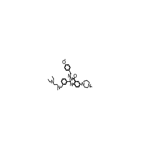 CCN(CC)CCN(C)Cc1cccc(-c2nc3ccc(N4CCCN(C)CC4)cc3c(=O)n2N=Cc2ccc(OC)cc2)c1